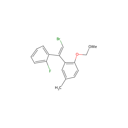 COCOc1ccc(C)cc1/C(=C/Br)c1ccccc1F